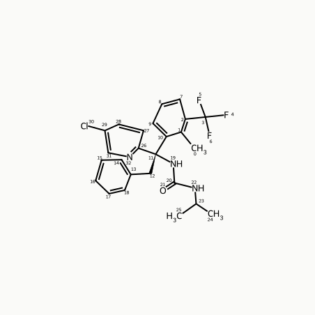 Cc1c(C(F)(F)F)cccc1[C@](Cc1ccccc1)(NC(=O)NC(C)C)c1ccc(Cl)cn1